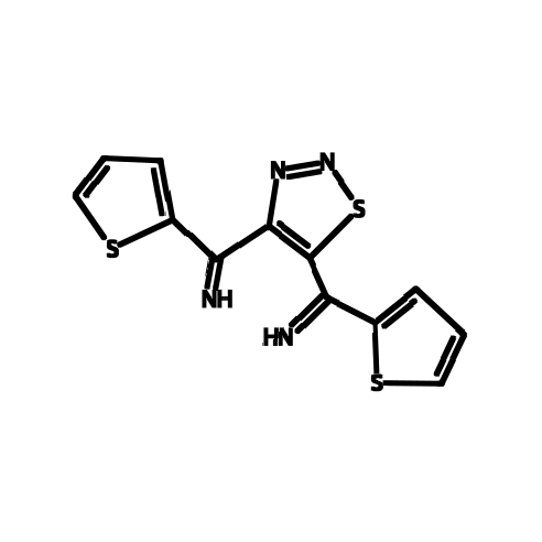 N=C(c1cccs1)c1nnsc1C(=N)c1cccs1